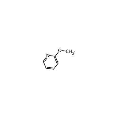 [CH2]Oc1ccccn1